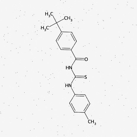 Cc1ccc(NC(=S)NC(=O)c2ccc(C(C)(C)C)cc2)cc1